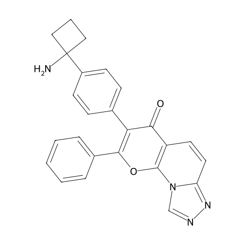 NC1(c2ccc(-c3c(-c4ccccc4)oc4c(ccc5nncn54)c3=O)cc2)CCC1